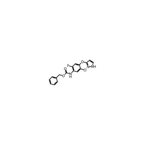 O=C(Nc1cc(Cl)c(Oc2cc[nH]n2)cc1F)OCc1ccccc1